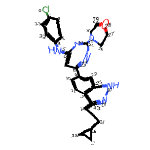 Clc1ccc(Nc2cc(-c3ccc4c(CCC5CC5)n[nH]c4c3)nc(N3CCOCC3)n2)cc1